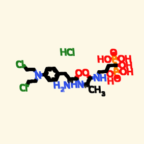 C[C@H](NC(=O)[C@@H](N)Cc1ccc(N(CCCl)CCCl)cc1)C(=O)NCCCC(O)(P(=O)(O)O)P(=O)(O)O.Cl